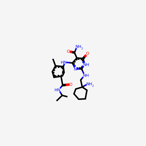 Cc1ccc(C(=O)NC(C)C)cc1Nc1nc(NCC2(N)CCCCC2)[nH]c(=O)c1C(N)=O